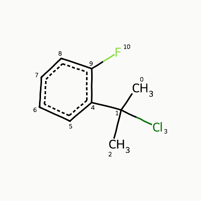 CC(C)(Cl)c1ccccc1F